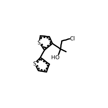 CC(O)(CCl)c1ccsc1-c1cccs1